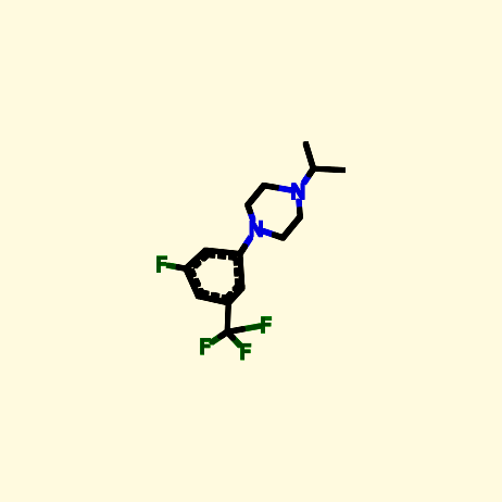 CC(C)N1CCN(c2cc(F)cc(C(F)(F)F)c2)CC1